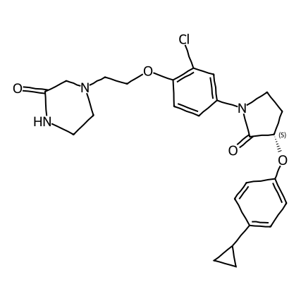 O=C1CN(CCOc2ccc(N3CC[C@H](Oc4ccc(C5CC5)cc4)C3=O)cc2Cl)CCN1